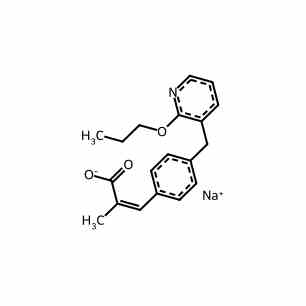 CCCOc1ncccc1Cc1ccc(C=C(C)C(=O)[O-])cc1.[Na+]